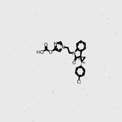 O=C(O)Oc1cn(CCN2C(=O)[C@]3(C[C@@H]3c3ccc(Cl)cc3)c3ccccc32)cn1